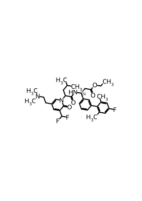 CCOC(=O)C[C@H](NC(=O)C(CC(C)C)n1cc(CCN(C)C)cc(C(F)F)c1=O)c1cccc(-c2c(C)cc(F)cc2C)c1